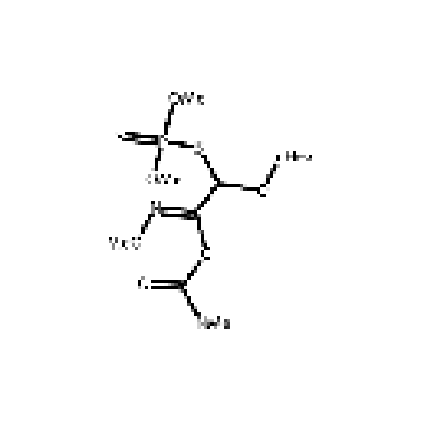 CCCCCCOC(SP(=S)(OC)OC)C(=NOC)OC(=O)NC